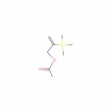 C=C(COC(C)=O)S(C)(C)C